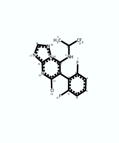 CC(Nc1c(-c2c(F)cccc2F)c(Cl)nc2ncnn12)C(F)(F)F